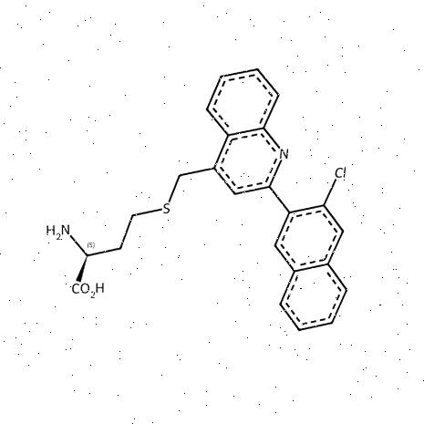 N[C@@H](CCSCc1cc(-c2cc3ccccc3cc2Cl)nc2ccccc12)C(=O)O